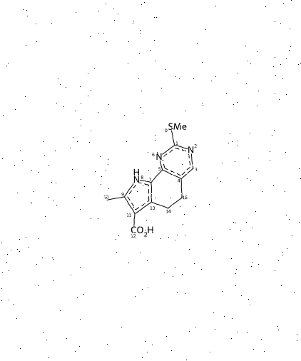 CSc1ncc2c(n1)-c1[nH]c(C)c(C(=O)O)c1CC2